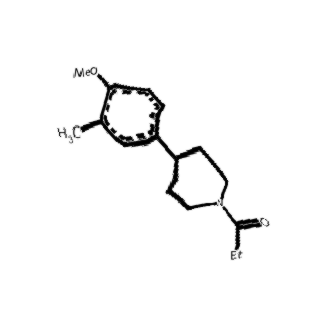 CCC(=O)N1CCC(c2ccc(OC)c(C)c2)CC1